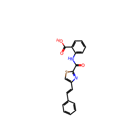 O=C(Nc1ccccc1C(=O)O)c1nc(/C=C/c2ccccc2)cs1